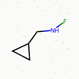 FNCC1CC1